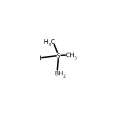 BS(C)(C)I